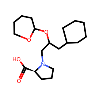 O=C(O)[C@@H]1CCCN1CC(CC1CCCCC1)OC1CCCCO1